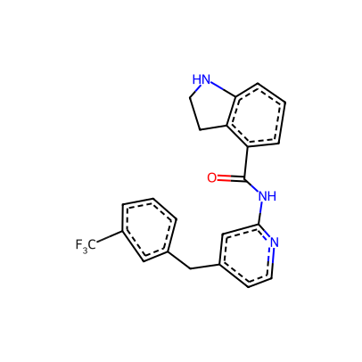 O=C(Nc1cc(Cc2cccc(C(F)(F)F)c2)ccn1)c1cccc2c1CCN2